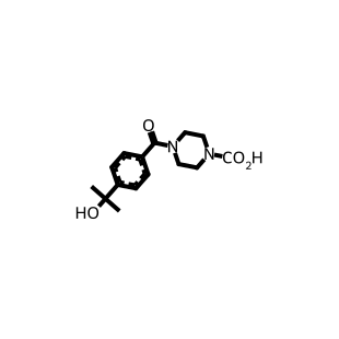 CC(C)(O)c1ccc(C(=O)N2CCN(C(=O)O)CC2)cc1